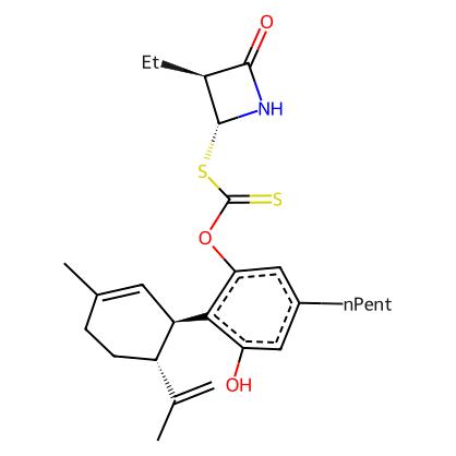 C=C(C)[C@@H]1CCC(C)=C[C@H]1c1c(O)cc(CCCCC)cc1OC(=S)S[C@H]1NC(=O)[C@@H]1CC